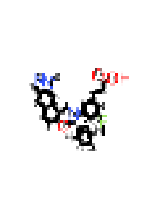 Cn1ncc2cc3cccc(CN(C(=O)[C@@H]4C[C@@H]5CC[C@H]4C5)c4cc(F)cc(C=CC(=O)O)c4)c3cc21